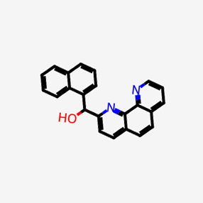 OC(c1ccc2ccc3cccnc3c2n1)c1cccc2ccccc12